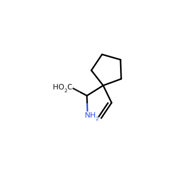 C=CC1(C(N)C(=O)O)CCCC1